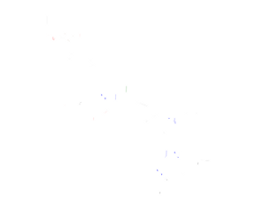 CCS(=O)(=O)c1ccc([C@H](CO)NC(=O)c2cc3cc(CN/C(=C\C(C)=N)C(F)(F)F)n(C4CC4)c3cc2F)cc1